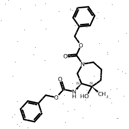 C[C@]1(O)CCCN(C(=O)OCc2ccccc2)C[C@@H]1NC(=O)OCc1ccccc1